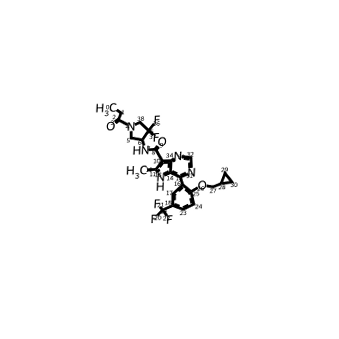 CCC(=O)N1CC(NC(=O)c2c(C)[nH]c3c(-c4cc(C(F)(F)F)ccc4OCC4CC4)ncnc23)C(F)(F)C1